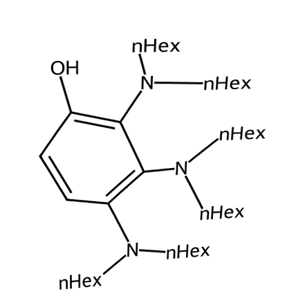 CCCCCCN(CCCCCC)c1ccc(O)c(N(CCCCCC)CCCCCC)c1N(CCCCCC)CCCCCC